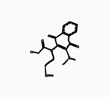 COCCN(C(=O)CCl)C1=C(N(C)C)C(=O)c2ccccc2C1=O